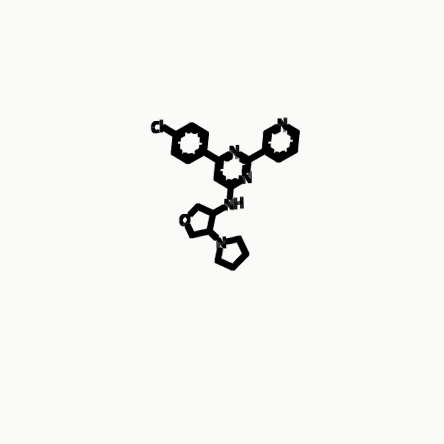 Clc1ccc(-c2cc(NC3COCC3N3CCCC3)nc(-c3cccnc3)n2)cc1